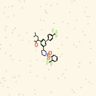 CC(=O)C(CC(C)C)c1cc(-c2ccc(C(F)(F)F)cc2)cc(C2CCCN(S(=O)(=O)c3ccccc3C(F)(F)F)C2)c1